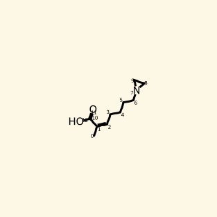 CC(=CCCCCN1CC1)C(=O)O